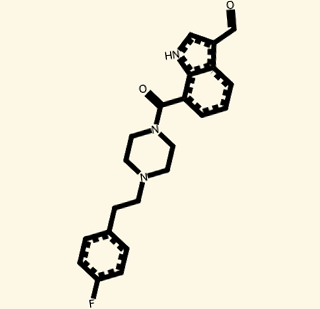 O=Cc1c[nH]c2c(C(=O)N3CCN(CCc4ccc(F)cc4)CC3)cccc12